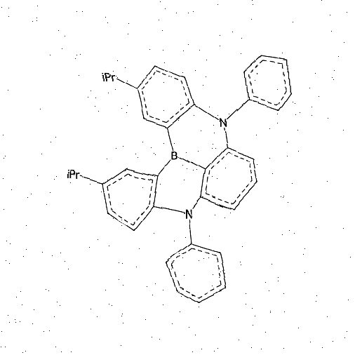 CC(C)c1ccc2c(c1)B1c3cc(C(C)C)ccc3N(c3ccccc3)c3cccc(c31)N2c1ccccc1